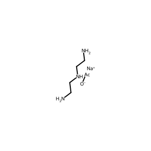 CC(=O)[O-].NCCNCCN.[Na+]